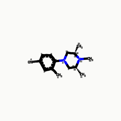 Cc1cc(N=O)ccc1N1C[C@@H](C)N(C)[C@@H](C)C1